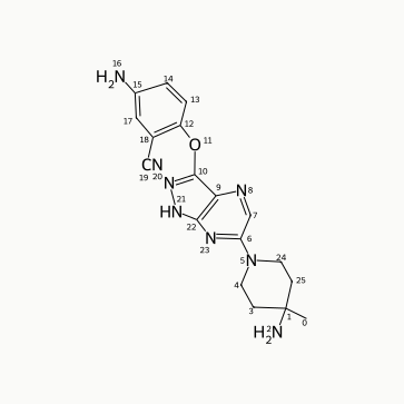 CC1(N)CCN(c2cnc3c(Oc4ccc(N)cc4C#N)n[nH]c3n2)CC1